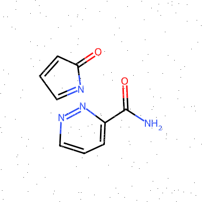 NC(=O)c1cccnn1.O=C1C=CC=N1